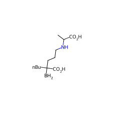 BC(CCCC)(CCCNC(C)C(=O)O)C(=O)O